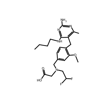 CCCCNc1nc(N)nc(C)c1Cc1ccc(CN(CC(=O)O)CC(F)F)cc1OC